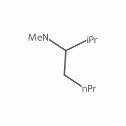 CCCCC(NC)C(C)C